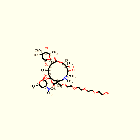 CC[C@H]1OC(=O)[C@H](C)[C@@H](O[C@H]2C[C@@](C)(OC)[C@@H](O)[C@H](C)O2)[C@H](C)[C@@H](O[C@@H]2O[C@H](C)C[C@H](N(C)C)[C@H]2OC(=O)CCOCCOCCOCCOCCO)[C@](C)(O)C[C@@H](C)CN(C)[C@H](C)[C@@H](O)[C@]1(C)O